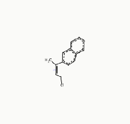 C/C(=C/CCl)c1ccc2ccccc2c1